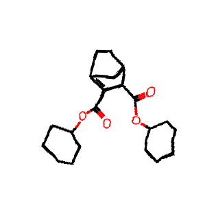 O=C(OC1CCCCC1)C1=C2CCC(C2)C1C(=O)OC1CCCCC1